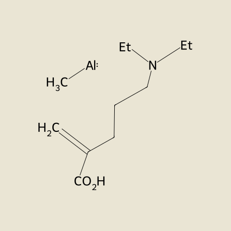 C=C(CCCN(CC)CC)C(=O)O.[CH3][Al]